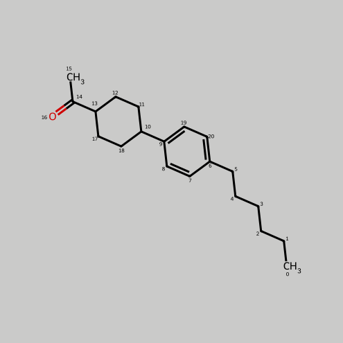 CCCCCCc1ccc(C2CCC(C(C)=O)CC2)cc1